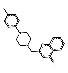 Cc1ccc(N2CCN(Cc3cc(=O)c4ccccc4o3)CC2)cc1